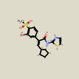 CS(=O)(=O)c1ccc(C(=CC2CCCC2)C(=O)Nc2nccs2)cc1Br